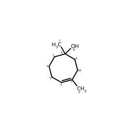 CC1=CCCCC(C)(O)CC1